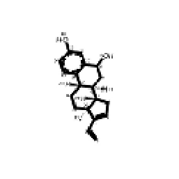 C=CC1=CC[C@H]2[C@@H]3CC(O)c4cc(O)ccc4[C@H]3CC[C@]12C